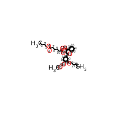 CCCCOC(=O)CCCCC(=O)Oc1c(-c2ccc(OCOC)c(OCCCC)c2)oc2ccccc2c1=O